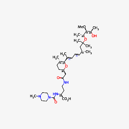 CO[C@@H]([C@@H](C)O)[C@@H](C)OC(C)(C)C[C@H](C)/C=C/C=C(\C)[C@H]1O[C@@H](CC(=O)NCC[C@H](NC(=O)N2CCN(C)CC2)C(=O)O)CC[C@@H]1C